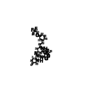 Cc1ccc(-n2nc3c(c2NC(=O)CS(C)(=O)=O)C(=O)N[C@@H](CCc2cccc(OCC(F)(F)F)c2)C3)nc1